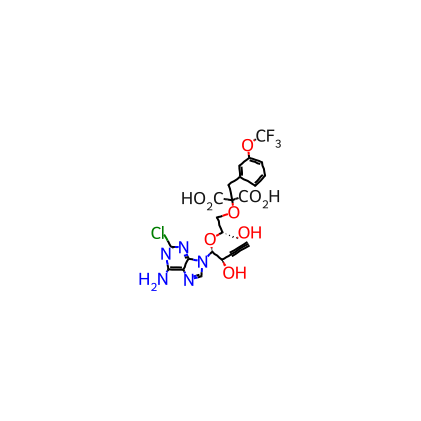 C#C[C@@H](O)[C@@H](O[C@@H](CO)COC(Cc1cccc(OC(F)(F)F)c1)(C(=O)O)C(=O)O)n1cnc2c(N)nc(Cl)nc21